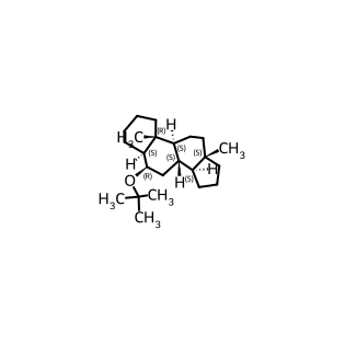 CC(C)(C)O[C@@H]1C[C@H]2[C@@H]3CCC[C@@]3(C)CC[C@@H]2[C@@]2(C)CCCC[C@H]12